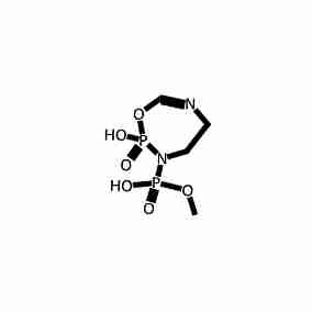 COP(=O)(O)N1CCN=COP1(=O)O